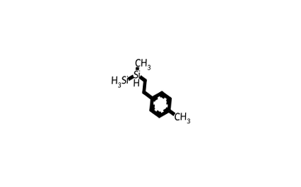 Cc1ccc(CC[SiH](C)[SiH3])cc1